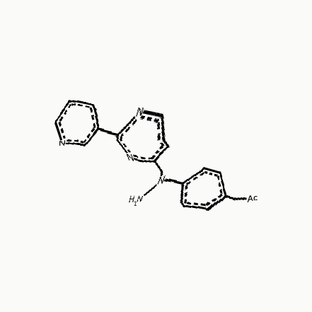 CC(=O)c1ccc(N(N)c2ccnc(-c3cccnc3)n2)cc1